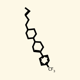 C/C=C/CCC1CCC(C2CC=C(c3ccc(C(F)(F)F)cc3)CC2)CC1